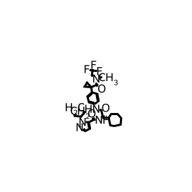 C=CC(C=C)n1nccc1C(=O)N[C@H](C(=O)Nc1ccc(C2(C(=O)N(C)CC(F)(F)F)CC2)cc1)C1CCCCCC1